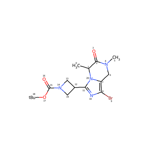 CC1C(=O)N(C)Cc2c(Br)nc(C3CN(C(=O)OC(C)(C)C)C3)n21